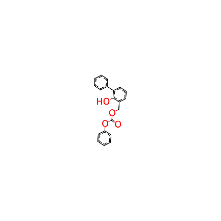 O=C(OCc1cccc(-c2ccccc2)c1O)Oc1ccccc1